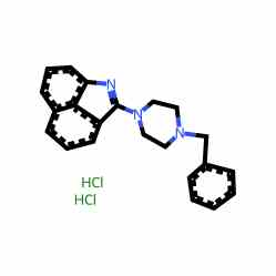 Cl.Cl.c1ccc(CN2CCN(C3=Nc4cccc5cccc3c45)CC2)cc1